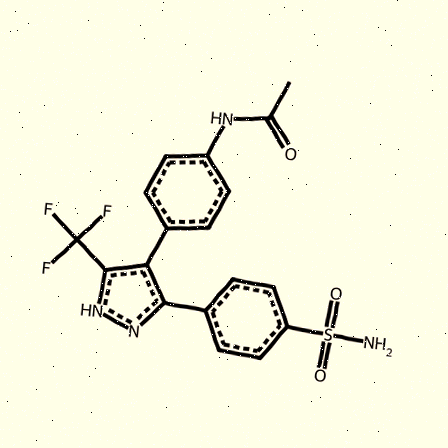 CC(=O)Nc1ccc(-c2c(-c3ccc(S(N)(=O)=O)cc3)n[nH]c2C(F)(F)F)cc1